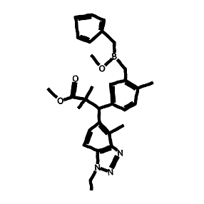 CCn1nnc2c(C)c(C(c3ccc(C)c(CB(Cc4ccccc4)OC)c3)C(C)(C)C(=O)OC)ccc21